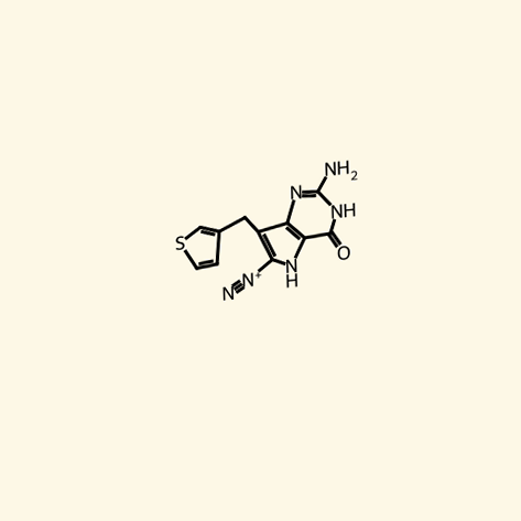 N#[N+]c1[nH]c2c(=O)[nH]c(N)nc2c1Cc1ccsc1